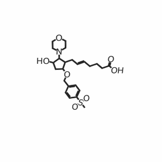 CS(=O)(=O)c1ccc(COC2CC(O)C(N3CCOCC3)C2CC=CCCCC(=O)O)cc1